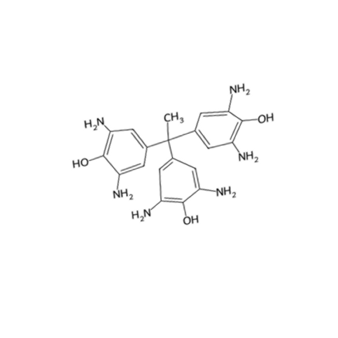 CC(c1cc(N)c(O)c(N)c1)(c1cc(N)c(O)c(N)c1)c1cc(N)c(O)c(N)c1